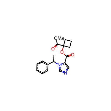 COC(=O)C1(OC(=O)c2cncn2C(C)c2ccccc2)CCC1